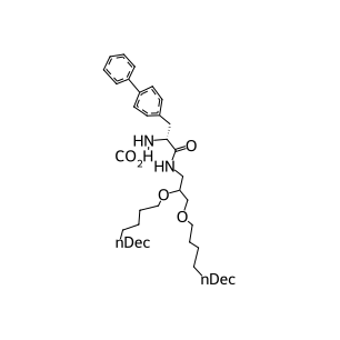 CCCCCCCCCCCCCCOCC(CNC(=O)[C@@H](Cc1ccc(-c2ccccc2)cc1)NC(=O)O)OCCCCCCCCCCCCCC